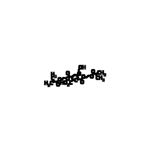 C=C(C)C(=O)OCCOC(=O)c1cc(C(=O)O)c(C(=O)OCCOC(=O)C(=C)C)cc1OCO